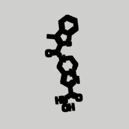 Cc1c(C(=O)N2CCn3nc(C(=O)NO)cc3C2)sc2ccccc12